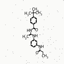 C=C(NC(=O)c1ccc(C(C)(C)C)cc1)Nc1cccc(NC(=O)CC)c1